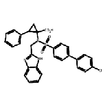 O=C(O)C1(N(Cc2nc3ccccc3[nH]2)S(=O)(=O)c2ccc(-c3ccc(Cl)cc3)cc2)CC1c1ccccc1